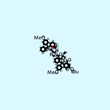 C#C[C@]1(COC(=O)CCC(=O)OC(C)(C)C)O[C@@H](n2cnc3c(NC(c4ccccc4)(c4ccccc4)c4ccc(OC)cc4)nc(F)nc32)C[C@@H]1OC(c1ccccc1)(c1ccccc1)c1ccc(OC)cc1